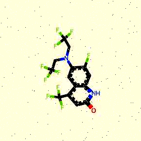 O=c1cc(C(F)(F)F)c2cc(N(CC(F)(F)F)CC(F)(F)F)c(F)cc2[nH]1